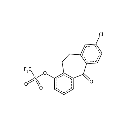 O=C1c2ccc(Cl)cc2CCc2c(OS(=O)(=O)C(F)(F)F)cccc21